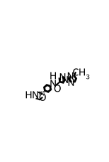 Cc1ccnc(-n2cc(C(=O)Nc3ccc([C@H]4CNCCO4)cc3)cn2)n1